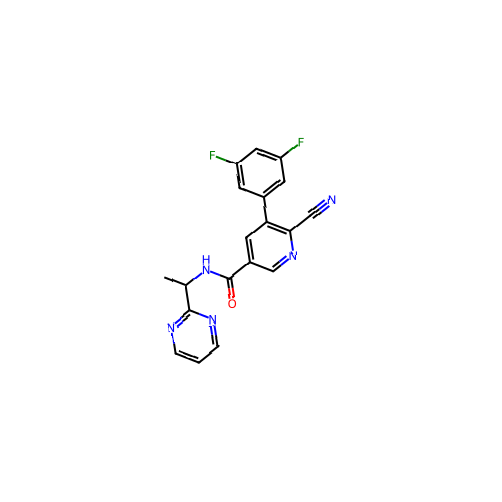 CC(NC(=O)c1cnc(C#N)c(-c2cc(F)cc(F)c2)c1)c1ncccn1